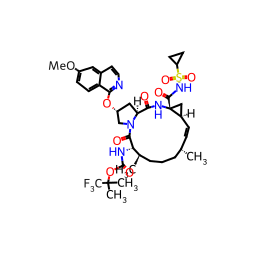 COc1ccc2c(O[C@@H]3C[C@H]4C(=O)N[C@]5(C(=O)NS(=O)(=O)C6CC6)C[C@H]5/C=C\[C@H](C)CCC[C@@H](C)[C@H](NC(=O)OC(C)(C)C(F)(F)F)C(=O)N4C3)nccc2c1